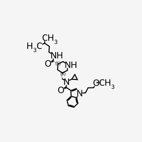 COCCCn1cc(C(=O)N(C[C@H]2CNC[C@@H](C(=O)NCCC(C)C)C2)C2CC2)c2ccccc21